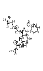 COc1ncccc1-c1cn(COCC[Si](C)(C)C)c2nc(NC(=O)C3CC3)ccc12